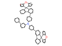 c1ccc(-c2cccc(N(c3ccc(-c4ccc5c(c4)-c4ccccc4C54c5ccccc5Oc5ccccc54)cc3)c3ccc(-c4cccc5c4-c4ccccc4C54c5ccccc5Oc5ccccc54)cc3)c2)cc1